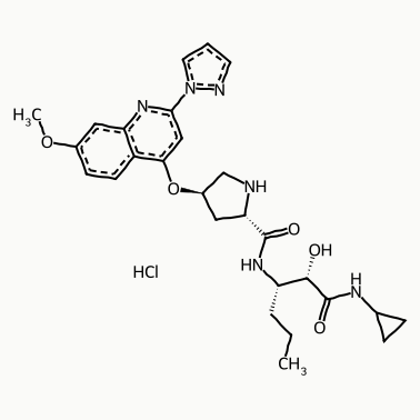 CCC[C@H](NC(=O)[C@@H]1C[C@@H](Oc2cc(-n3cccn3)nc3cc(OC)ccc23)CN1)[C@H](O)C(=O)NC1CC1.Cl